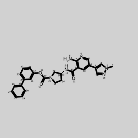 Cn1cc(-c2cnc(N)c(C(=O)N[C@@H]3CCN(C(=O)Oc4cccc(-c5ccccc5)c4)C3)c2)cn1